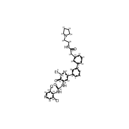 CCn1nc(-c2cccc(-c3cccc(CC(=O)NCCN4CCCC4)c3)c2)cc(NC(=O)Nc2c(Cl)cncc2Cl)c1=O